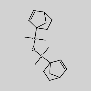 C[Si](C)(O[Si](C)(C)C12C=CC(CC1)C2)C12C=CC(CC1)C2